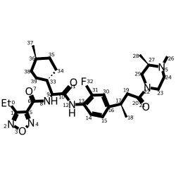 CCc1nonc1C(=O)N[C@H](C(=O)Nc1ccc([C@H](C)CC(=O)N2CCN(C)[C@H](C)C2)cc1F)[C@H]1CC[C@H](C)CC1